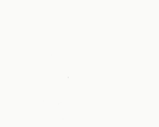 O=C(O)c1cc2cc(C(F)(F)F)ccc2n1Cc1ccc(Cl)c(Cl)c1